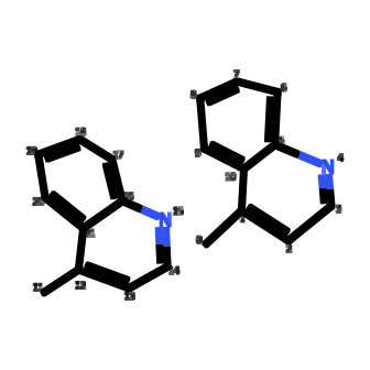 Cc1ccnc2ccccc12.Cc1ccnc2ccccc12